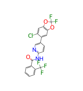 O=C(Nc1ccc(-c2cc3c(cc2Cl)OC(F)(F)O3)cn1)c1ccccc1C(F)(F)F